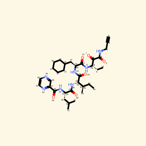 C#CCNC(=O)C(=O)[C@H](CC)NC(=O)[C@H](CC1CCCCC1)NC(=O)[C@@H](NC(=O)[C@H](CC(C)C)NC(=O)c1cnccn1)[C@H](C)CC